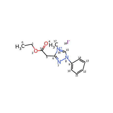 CCOC(=O)Cc1nn(-c2ccccc2)c[n+]1C.[I-]